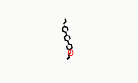 C=CCO[C@H]1CC[C@H]([C@H]2CC[C@H]([C@H]3CC[C@H](CCC)CC3)CC2)CC1